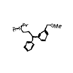 COCc1cc[c]c(C(CCN(C(C)C)C(C)C)c2ccccc2)c1